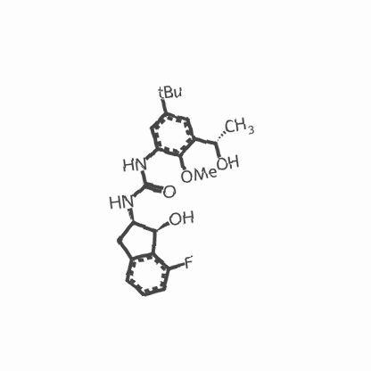 COc1c(NC(=O)N[C@@H]2Cc3cccc(F)c3[C@@H]2O)cc(C(C)(C)C)cc1[C@H](C)O